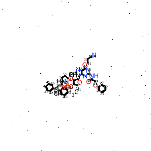 CC[C@H]1O[C@@H](n2cnc3c(OCCC#N)nc(NC(=O)COc4ccccc4)nc32)C(OC)[C@H]1O[P@@]1O[C@H](C[Si](C)(c2ccccc2)c2ccccc2)[C@@H]2CCCN21